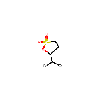 CCC(C(C)C)[C@@H]1CCS(=O)(=O)O1